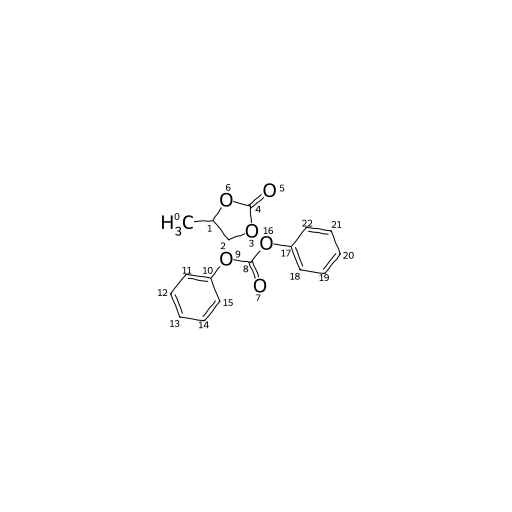 CC1COC(=O)O1.O=C(Oc1ccccc1)Oc1ccccc1